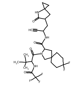 C#CC(CC1CC2(CC2)NC1=O)NC(=O)C1CC2(CCC(F)(F)CC2)CN1C(=O)C(NC(=O)C(F)(F)F)C(C)(C)C